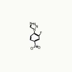 O=[N+]([O-])c1ccc(-n2cnnn2)c(F)c1